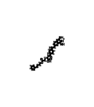 N=c1[nH]c(N)nc2ncc(CNc3ccc(C(=O)N[C@@H](CCC(=O)OCCSSc4ccccn4)C(=O)O)cc3)nc12